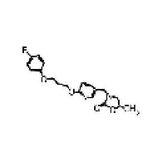 C[C@@H]1CN(Cc2ccc(OCCCOc3ccc(F)cc3)nc2)C(=O)O1